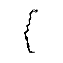 CCCCCCC#CC#CCCCCCCCC(=O)O